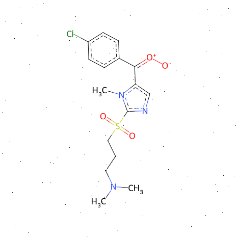 CN(C)CCCS(=O)(=O)c1ncc(C(=[O+][O-])c2ccc(Cl)cc2)n1C